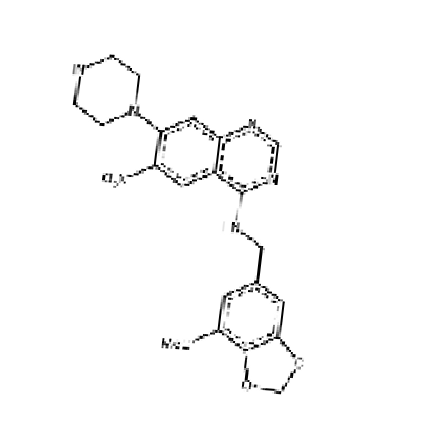 COc1cc(CNc2ncnc3cc(N4CCNCC4)c([N+](=O)[O-])cc23)cc2c1OCO2